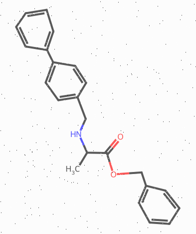 CC(NCc1ccc(-c2ccccc2)cc1)C(=O)OCc1ccccc1